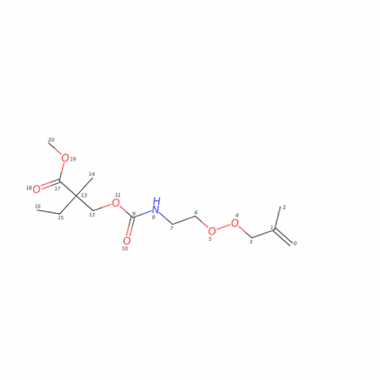 C=C(C)COOCCNC(=O)OCC(C)(CC)C(=O)OC